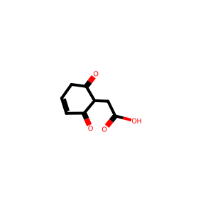 O=C(O)CC1C(=O)C=CCC1=O